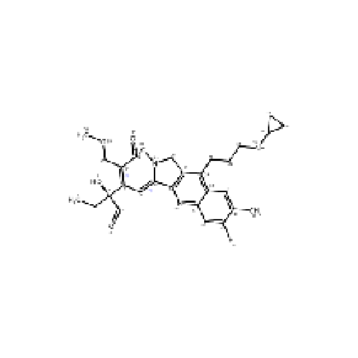 CC[C@@](O)(C=O)C(/C=C1/c2nc3cc(F)c(C)cc3c(CCCNC3CC3)c2CN1C)=C(/C=O)COC